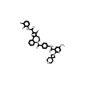 Cc1cnc(N2CC3(CCOCC3)C2)c(C(=O)Nc2ccc(C(=O)N3CCc4c(sc(C(=O)Nc5cccc(F)c5F)c4F)-c4ccccc43)cc2)c1